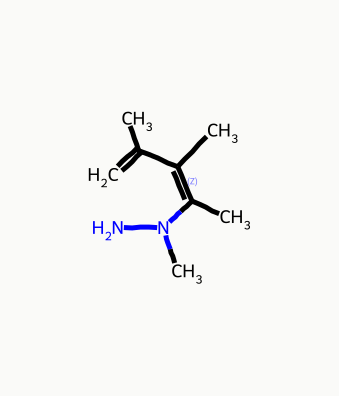 C=C(C)/C(C)=C(/C)N(C)N